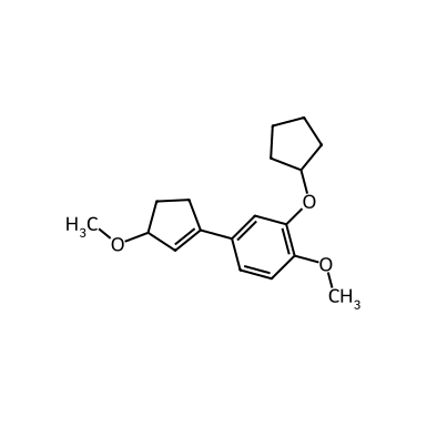 COc1ccc(C2=CC(OC)CC2)cc1OC1CCCC1